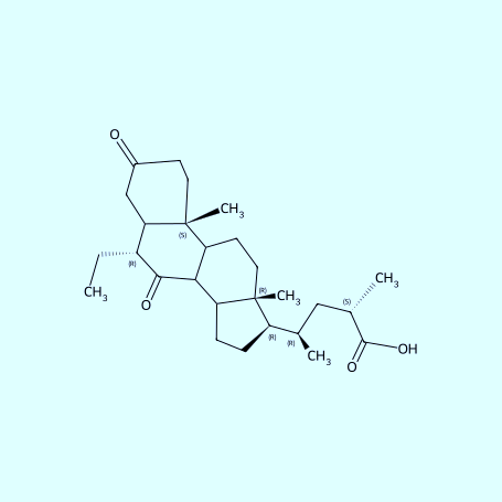 CC[C@H]1C(=O)C2C(CC[C@@]3(C)C2CC[C@@H]3[C@H](C)C[C@H](C)C(=O)O)[C@@]2(C)CCC(=O)CC12